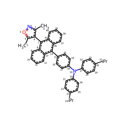 Cc1noc(C)c1-c1c2ccccc2c(-c2ccc(N(c3ccc(C(C)C)cc3)c3ccc(C(C)C)cc3)cc2)c2ccccc12